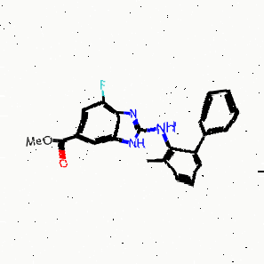 COC(=O)c1cc(F)c2nc(Nc3c(C)cccc3-c3ccccc3)[nH]c2c1